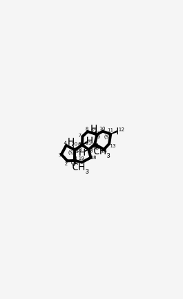 C[C@@]12CCC[C@H]1[C@@H]1CC[C@H]3C[C@@H](I)CC[C@]3(C)[C@H]1CC2